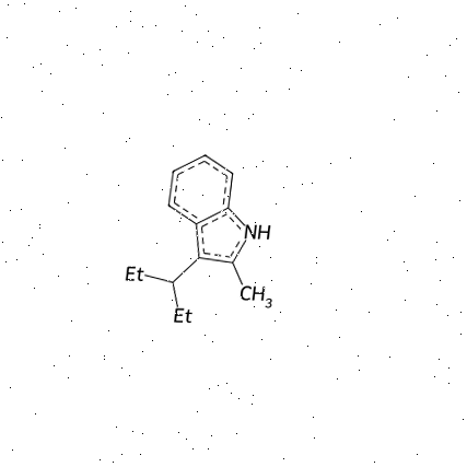 CCC(CC)c1c(C)[nH]c2ccccc12